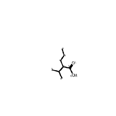 CCCC(C(=O)O)C(C)C